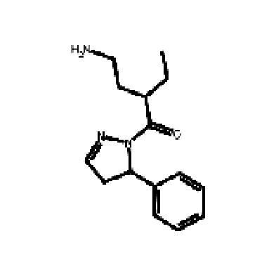 CCC(CCN)C(=O)N1N=CCC1c1ccccc1